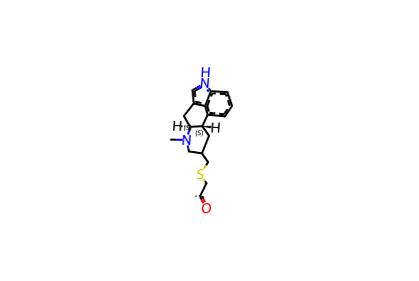 CN1CC(CSC[C]=O)C[C@H]2c3cccc4[nH]cc(c34)C[C@@H]21